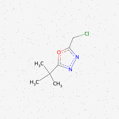 CC(C)(C)c1nnc(CCl)o1